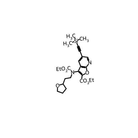 CCOC(=O)c1oc2ncc(C#C[Si](C)(C)C)cc2c1N(CCC1CCCO1)C(=O)OCC